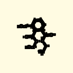 CCCCCCCCOC(=O)c1c(CCCCCCCC)cccc1C(=O)OCC(C)(C)C